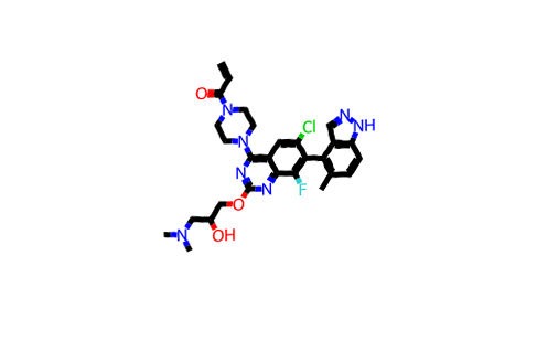 C=CC(=O)N1CCN(c2nc(OCC(O)CN(C)C)nc3c(F)c(-c4c(C)ccc5[nH]ncc45)c(Cl)cc23)CC1